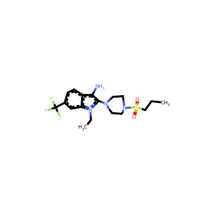 CCCS(=O)(=O)N1CCN(c2c(N)c3ccc(C(F)(F)F)cc3n2CC)CC1